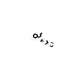 C[C@@H]1CN(c2cnc(C(C)(C)Nc3cc(=O)n(C)c4ccc([N+](=O)[O-])cc34)nc2)C[C@H](C)O1